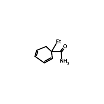 CCC1(C(N)=O)C=CC=CC1